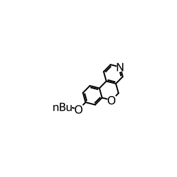 CCCCOc1ccc2c(c1)OCc1cnccc1-2